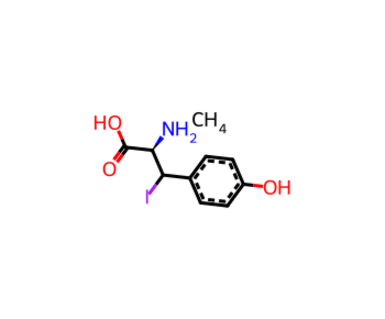 C.N[C@H](C(=O)O)C(I)c1ccc(O)cc1